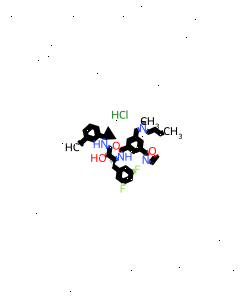 C#Cc1cccc(C2(NC[C@H](O)[C@H](Cc3cc(F)cc(F)c3)NC(=O)c3cc(CN(C)CCCC)cc(-c4ncco4)c3)CC2)c1.Cl